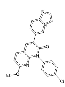 CCOc1ccc2cc(-c3ccc4nccn4c3)c(=O)n(-c3ccc(Cl)cc3)c2n1